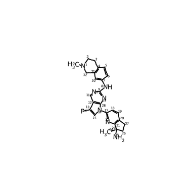 CN1CCc2ccc(Nc3ncc4c(F)cn(-c5ccc6c(n5)[C@@](C)(N)CC6)c4n3)cc2C1